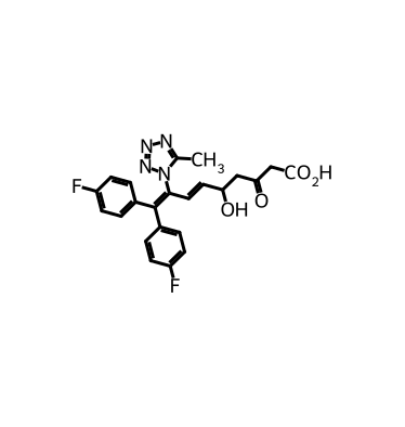 Cc1nnnn1C(/C=C/C(O)CC(=O)CC(=O)O)=C(c1ccc(F)cc1)c1ccc(F)cc1